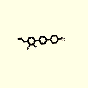 C=CCc1ccc(-c2ccc(C3CCC(CC)CC3)cc2)c(F)c1F